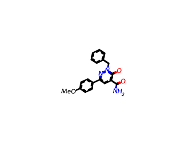 COc1ccc(-c2cc(C(N)=O)c(=O)n(Cc3ccccc3)n2)cc1